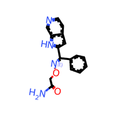 NC(=O)CO/N=C(\c1ccccc1)c1cc2ccncc2[nH]1